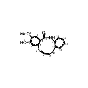 COc1cc2c(cc1O)N=C=CCc1ccccc1NC2=O